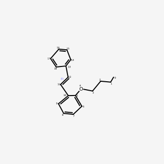 CCCCOc1ccccc1/C=C/c1ccccc1